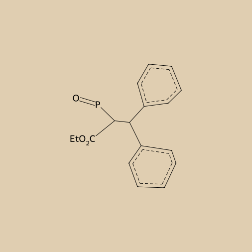 CCOC(=O)C(P=O)C(c1ccccc1)c1ccccc1